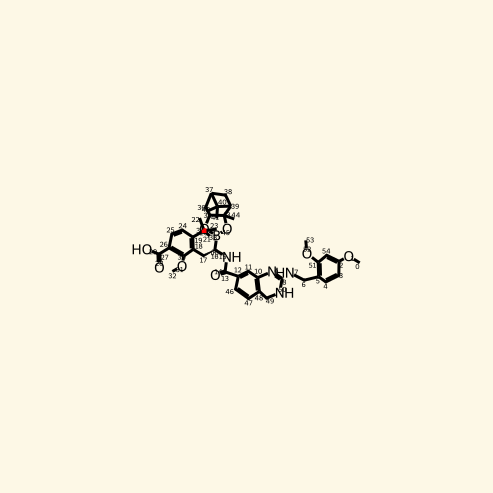 COc1ccc(CNC2=Nc3cc(C(=O)N[C@@H](Cc4c(C(C)(C)C)ccc(C(=O)O)c4OC)B4OC5CC6CC(C6(C)C)C5(C)O4)ccc3CN2)c(OC)c1